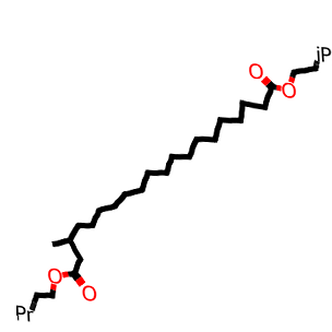 CC(C)CCOC(=O)CCCCCCCCCCCCCCCCC(C)CC(=O)OCCC(C)C